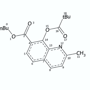 CCCCOC(=O)c1ccc2ccc(C)nc2c1OC(=O)C(C)(C)C